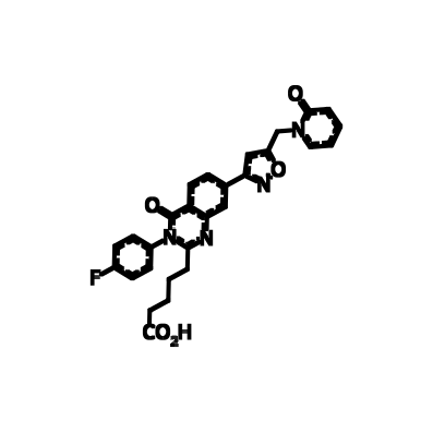 O=C(O)CCCCc1nc2cc(-c3cc(Cn4ccccc4=O)on3)ccc2c(=O)n1-c1ccc(F)cc1